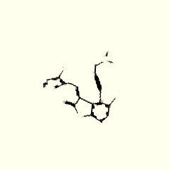 Cc1nc[nH]c1C=C1C(=O)Nc2ccc(F)c(C#CCN(C)C)c21